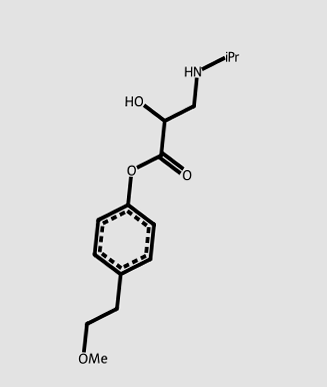 COCCc1ccc(OC(=O)C(O)CNC(C)C)cc1